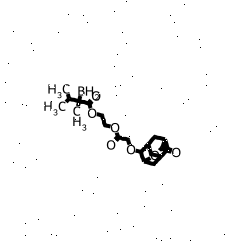 BC(C)(C(=O)OCCOC(=O)COC1C2CC3CC(C2)C(=O)OC1C3)C(C)C